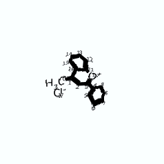 Cc1cc(-c2ccccc2)[o+]c2ccccc12.[Cl-]